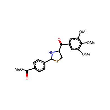 COC(=O)c1ccc(C2NC(C(=O)c3cc(OC)c(OC)c(OC)c3)CS2)cc1